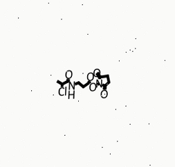 CC(Cl)C(=O)NCCC(=O)ON1C(=O)CCC1=O